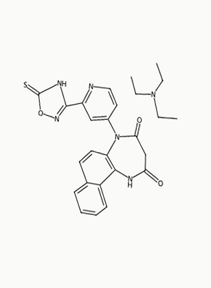 CCN(CC)CC.O=C1CC(=O)N(c2ccnc(-c3noc(=S)[nH]3)c2)c2ccc3ccccc3c2N1